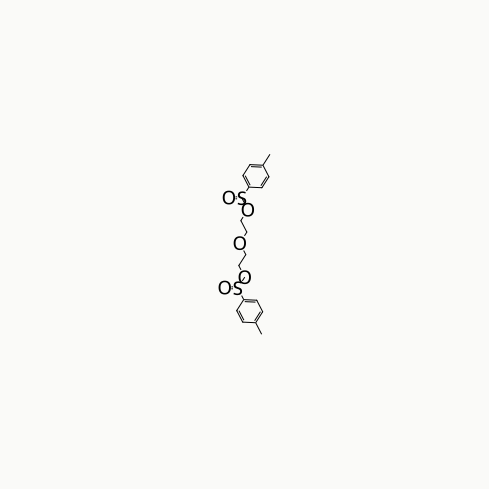 Cc1ccc(S(=O)OCCOCCOS(=O)c2ccc(C)cc2)cc1